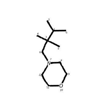 CC(C)C(C)(C)CN1CCOCC1